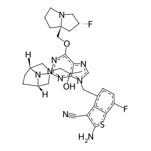 CC(O)CN1C[C@H]2CC[C@@H](C1)N2c1nc(OC[C@@]23CCCN2C[C@H](F)C3)c2ncn(Cc3ccc(F)c4sc(N)c(C#N)c34)c2n1